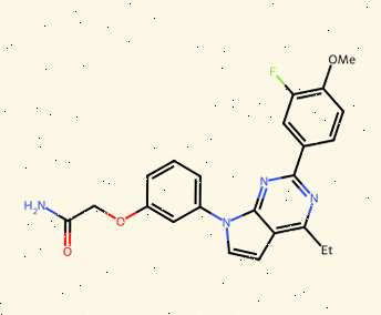 CCc1nc(-c2ccc(OC)c(F)c2)nc2c1ccn2-c1cccc(OCC(N)=O)c1